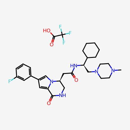 CN1CCN(C[C@@H](NC(=O)C[C@H]2CNC(=O)c3cc(-c4cccc(F)c4)cn32)C2CCCCC2)CC1.O=C(O)C(F)(F)F